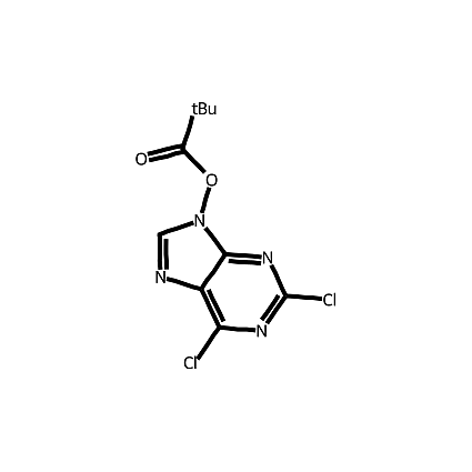 CC(C)(C)C(=O)On1cnc2c(Cl)nc(Cl)nc21